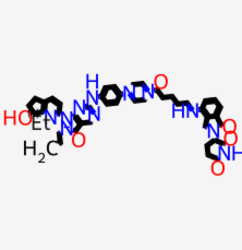 C=CCn1c(=O)c2cnc(Nc3ccc(N4CCN(C(=O)CCCCNc5cccc6c5CN(C5CCC(=O)NC5=O)C6=O)CC4)cc3)nc2n1-c1ccc2c(n1)[C@@](O)(CC)CC2